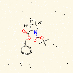 CC(C)(C)OC(=O)N1C[C@@H]2CC[C@@H]2[C@@H]1C(=O)OCc1ccccc1